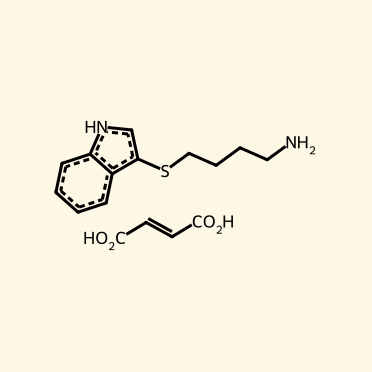 NCCCCSc1c[nH]c2ccccc12.O=C(O)/C=C/C(=O)O